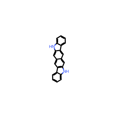 c1ccc2c(c1)[nH]c1cc3cc4c(cc3cc12)[nH]c1ccccc14